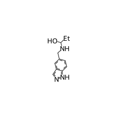 CCC(O)NCc1ccc2[nH]ncc2c1